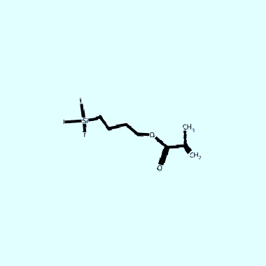 C=C(C)C(=O)OCCCC[Si](I)(I)I